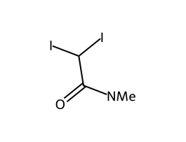 CNC(=O)C(I)I